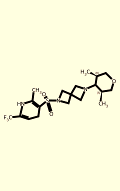 CC1=C(S(=O)(=O)N2CC3(CN(C4[C@H](C)COC[C@@H]4C)C3)C2)CC=C(C(F)(F)F)N1